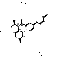 C=C\C=C/C=C(C=C)/C=C(\C)C(=C)N(C(=C)C)C(/C=C\C=C)=C/C